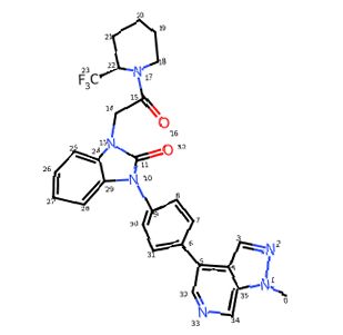 Cn1ncc2c(-c3ccc(-n4c(=O)n(CC(=O)N5CCCC[C@@H]5C(F)(F)F)c5ccccc54)cc3)cncc21